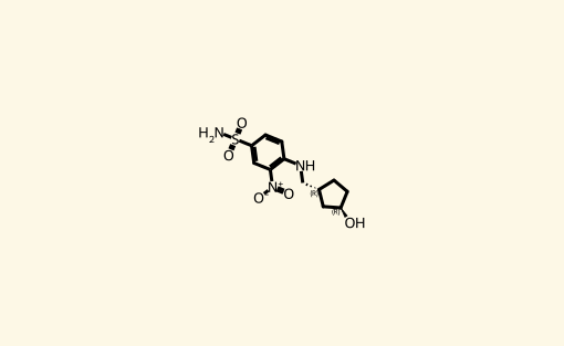 NS(=O)(=O)c1ccc(NC[C@@H]2CC[C@@H](O)C2)c([N+](=O)[O-])c1